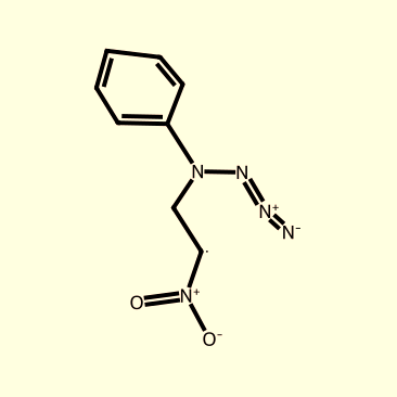 [N-]=[N+]=NN(C[CH][N+](=O)[O-])c1ccccc1